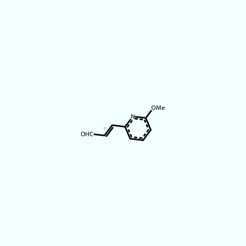 COc1cccc(/C=C/C=O)n1